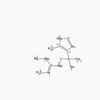 CN=C(NC#N)NCC(C)(S)c1nc[nH]c1C